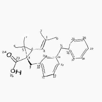 CC(C)=C[C@H]1C(C)(C)[C@@]1(Cc1cccc(Cc2ccccc2)c1)C(=O)O